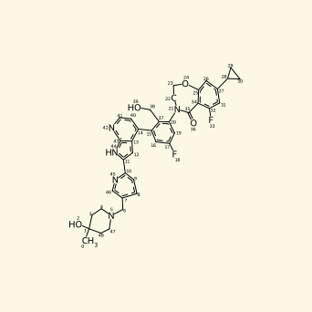 CC1(O)CCN(Cc2ccc(-c3cc4c(-c5cc(F)cc(N6CCOc7cc(C8CC8)cc(F)c7C6=O)c5CO)ccnc4[nH]3)nc2)CC1